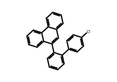 Clc1ccc(-c2ccccc2-c2cc3ccccc3c3ccccc23)cc1